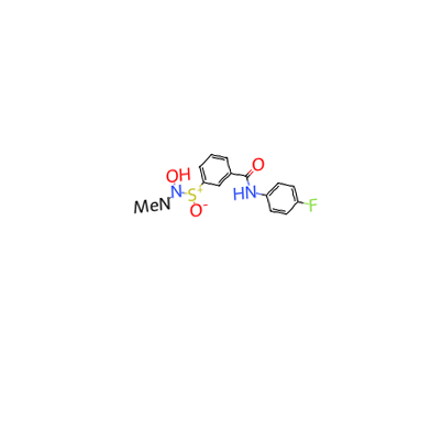 CNN(O)[S+]([O-])c1cccc(C(=O)Nc2ccc(F)cc2)c1